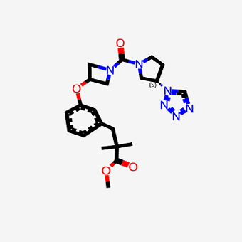 COC(=O)C(C)(C)Cc1cccc(OC2CN(C(=O)N3CC[C@H](n4cnnn4)C3)C2)c1